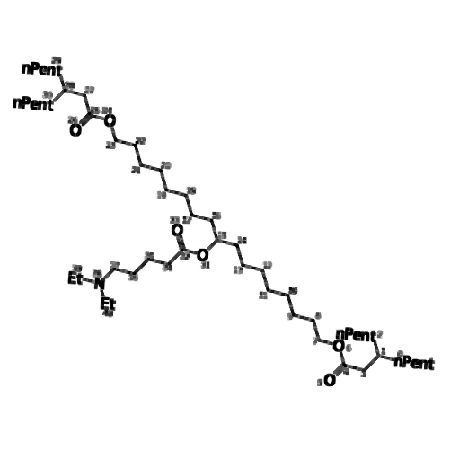 CCCCCC(CCCCC)CC(=O)OCCCCCCCCC(CCCCCCCCOC(=O)CC(CCCCC)CCCCC)OC(=O)CCCCN(CC)CC